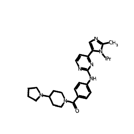 Cc1ncc(-c2ccnc(Nc3ccc(C(=O)N4CCC(N5CCCC5)CC4)cc3)n2)n1C(C)C